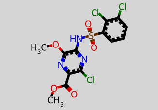 COC(=O)c1nc(OC)c(NS(=O)(=O)c2cccc(Cl)c2Cl)nc1Cl